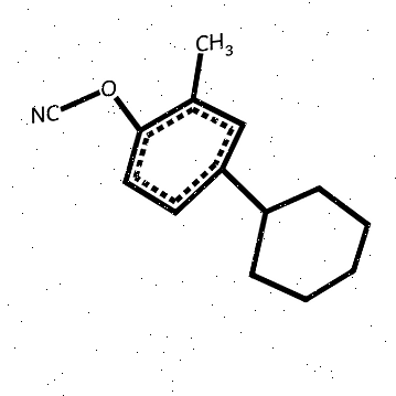 Cc1cc(C2CCCCC2)ccc1OC#N